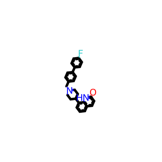 O=c1ccc2cccc(C3CCN(Cc4ccc(-c5ccc(F)cc5)cc4)CC3)c2[nH]1